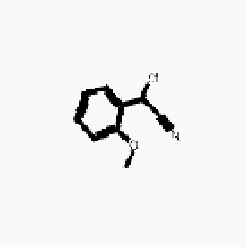 COc1ccccc1C(Cl)C#N